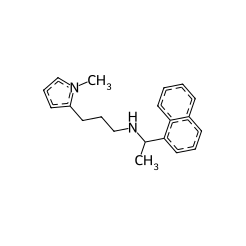 CC(NCCCc1cccn1C)c1cccc2ccccc12